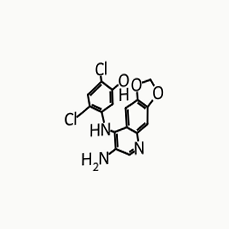 Nc1cnc2cc3c(cc2c1Nc1cc(O)c(Cl)cc1Cl)OCO3